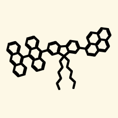 CCCCCCC1(CCCCCC)c2cc(-c3c4ccccc4c(-c4c5ccccc5cc5ccccc45)c4ccccc34)ccc2-c2ccc(-c3ccc4ccc5cccc6ccc3c4c56)cc21